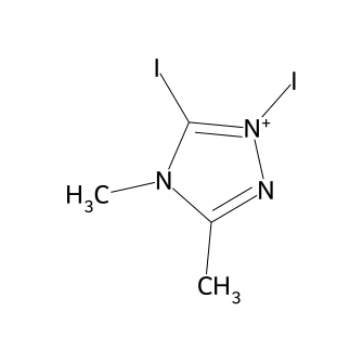 Cc1n[n+](I)c(I)n1C